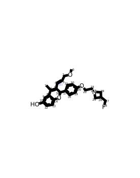 COC/C=C/C1=C(C)c2cc(O)ccc2OC1c1ccc(OCCN2CC(CF)C2)cc1